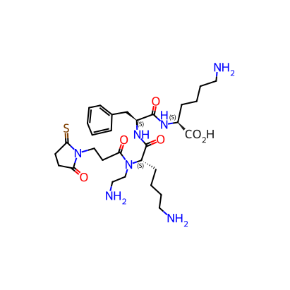 NCCCC[C@H](NC(=O)[C@H](Cc1ccccc1)NC(=O)[C@H](CCCCN)N(CCN)C(=O)CCN1C(=O)CCC1=S)C(=O)O